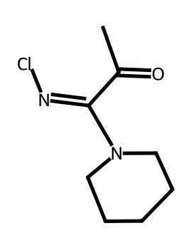 CC(=O)C(=NCl)N1CCCCC1